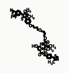 Cc1ncsc1-c1ccc(CNC(=O)[C@@H]2C[C@@H](O)CN2C(=O)[C@@H](NC(=O)COC/C=C\COCCCCOc2ccc(C3C(=S)N(c4ccc(C#N)c(C(F)(F)F)c4)C(=O)C3(C)C)cc2)C(C)(C)C)cc1